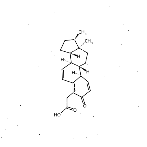 C[C@@H]1CC[C@H]2[C@@H]3C=CC4=C(CC(=O)O)C(=O)C=C[C@@H]4[C@H]3CC[C@]12C